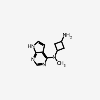 CN(c1ncnc2[nH]ccc12)C1CC(N)C1